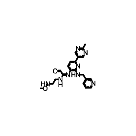 CONCCN/C(C=O)=N/c1ccc(-c2cnc(C)nc2)nc1NCc1cccnc1